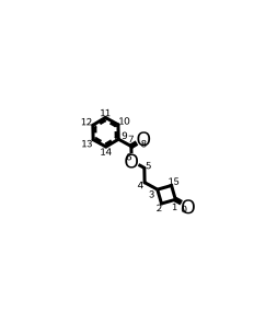 O=C1CC(CCOC(=O)c2ccccc2)C1